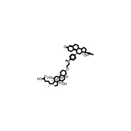 CC#C[C@@]1(O)CCC2C3CCC4=CC(=O)CCC4=C3[C@H](c3ccc(N(C)CCO[C@H]4CC[C@@]5(C)[C@@H](C4)C[C@@H](O)[C@@H]4[C@@H]5C[C@H](O)[C@]5(C)[C@@H]([C@H](C)CCC(=O)O)CC[C@@H]45)cc3)C[C@@]21C